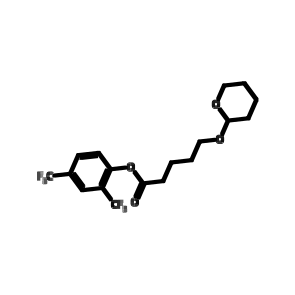 O=C(CCCCOC1CCCCO1)Oc1ccc(C(F)(F)F)cc1C(F)(F)F